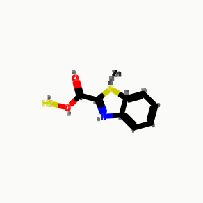 O=C(OS)c1nc2ccccc2s1.[Zn]